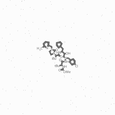 CCC(C)C(C(=O)NC(Cc1ccccc1)C(O)CN(Cc1ccc(Cl)cc1)NC(=O)C(NC(=O)OC)C(C)(C)C)N1CCN(Cc2cccc(C)n2)C1=O